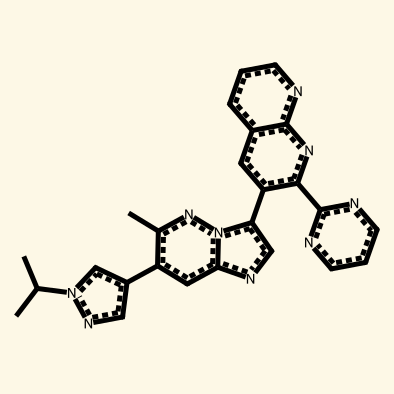 Cc1nn2c(-c3cc4cccnc4nc3-c3ncccn3)cnc2cc1-c1cnn(C(C)C)c1